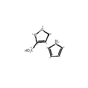 O=C(O)C1=CCOO1.c1cc[nH]c1